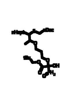 CCCCCCCCCCCSC(CCCCCCC)C(C)OCCCOC(O)([PH2]=O)C(=O)OCC(C)(C)C